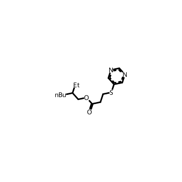 CCCCC(CC)COC(=O)CCSc1cncnc1